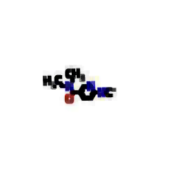 [C-]#[N+]c1ccc(C(=O)N(CC)CC)cn1